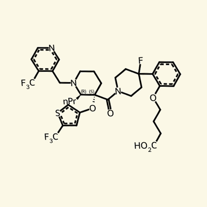 CCC[C@H]1N(Cc2cnccc2C(F)(F)F)CCC[C@@]1(Oc1csc(C(F)(F)F)c1)C(=O)N1CCC(F)(c2ccccc2OCCCC(=O)O)CC1